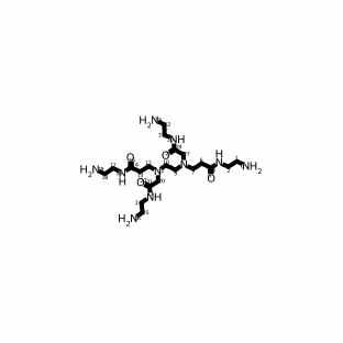 NCCNC(=O)CCN(CCN(CCC(=O)NCCN)CC(=O)NCCN)CC(=O)NCCN